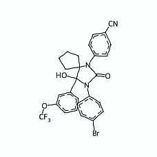 N#Cc1ccc(N2C(=O)N(c3ccc(Br)cc3)C(O)(c3cccc(OC(F)(F)F)c3)C23CCCC3)cc1